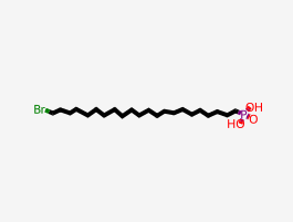 O=P(O)(O)CCCCCCCCCCCCCCCCCCCCCCBr